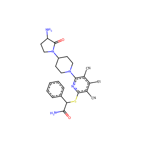 CCc1c(C#N)c(SC(C(N)=O)c2ccccc2)nc(N2CCC(N3CCC(N)C3=O)CC2)c1C#N